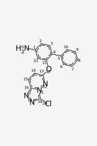 Nc1ccc(-c2ccccc2)c(Oc2ccc3nnc(Cl)n3n2)c1